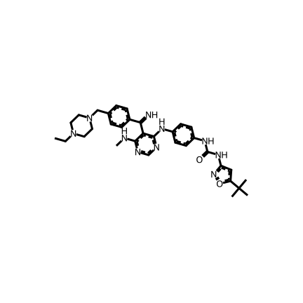 CCN1CCN(Cc2ccc(C(=N)c3c(NC)ncnc3Nc3ccc(NC(=O)Nc4cc(C(C)(C)C)on4)cc3)cc2)CC1